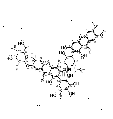 COc1cc2oc3cc(O)c(C4C[C@H](CO)[C@@H](O)[C@H](Oc5c(O)c(C6C[C@H](CO)[C@@H](O)[C@H](O)[C@H]6O)c(O)c6c(=O)c7cc(O[C@@H]8O[C@H](CO)[C@@H](O)[C@H](O)[C@H]8O)c(O)cc7oc56)[C@H]4O)c(O)c3c(=O)c2cc1OC